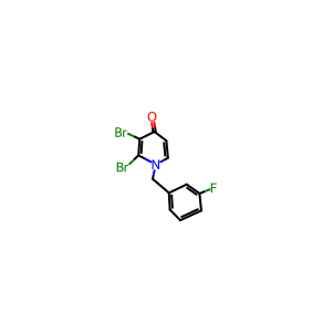 O=c1ccn(Cc2cccc(F)c2)c(Br)c1Br